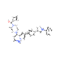 CC(C)N1CCC(c2ccc(-c3cc4c(N5CCN(C(=O)C6CCC6)CC5)ccnn4c3)cc2)C1